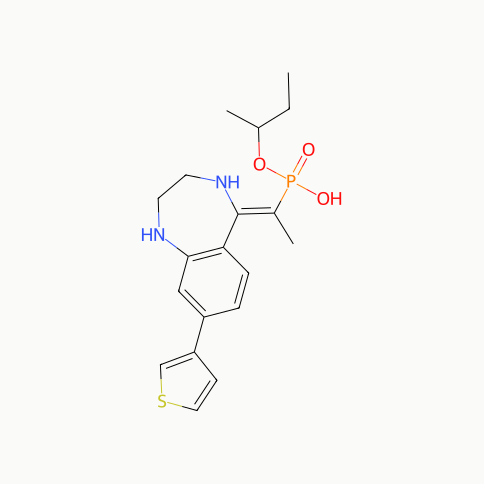 CCC(C)OP(=O)(O)C(C)=C1NCCNc2cc(-c3ccsc3)ccc21